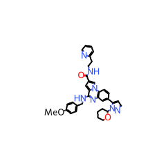 COc1ccc(CNc2nc3cc(-c4ccnn4C4CCCCO4)ccc3n3cc(C(=O)NCCc4ccccn4)cc23)cc1